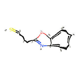 S=[C]Cc1nc2ccccc2o1